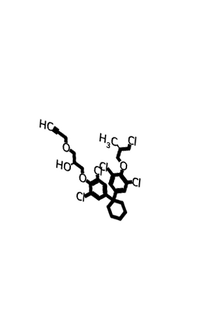 C#CCOC[C@@H](O)COc1c(Cl)cc(C2(c3cc(Cl)c(OC[C@H](C)CCl)c(Cl)c3)CCCCC2)cc1Cl